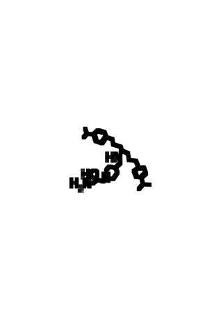 CC(C)c1ccc(CCCC(CCCc2ccc(C(C)C)cc2)NCC2CCN(CC(O)CN)CC2)cc1